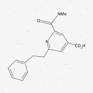 CNC(=O)c1cc(C(=O)O)cc(CCc2ccccc2)n1